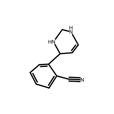 N#Cc1ccccc1C1C=CNCN1